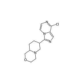 Clc1nccn2c(C3CCC4COCCN4C3)ncc12